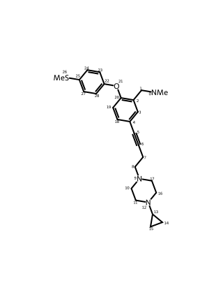 CNCc1cc(C#CCCN2CCN(C3CC3)CC2)ccc1Oc1ccc(SC)cc1